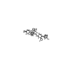 COc1cc(/C=C2\CCCN3C2=NOC3(CO)c2ccc(F)cc2)ccc1-c1cnc(C)s1